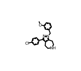 COc1cccc(Cn2nc(-c3ccc(Cl)cc3)c3c2CCNCC3)c1